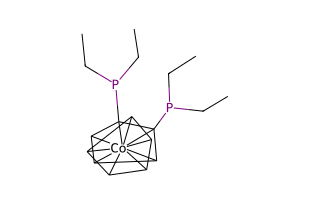 CCP(CC)[C]12[CH]3[CH]4[CH]5[C]1(P(CC)CC)[Co]43521678[CH]2[CH]1[CH]6[CH]7[CH]28